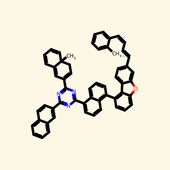 Cc1ccccc1/C=C\C=C\c1ccc2c(c1)oc1cccc(-c3cccc4c(-c5nc(C6=CCC7(C)C=CC=CC7=C6)nc(-c6ccc7ccccc7c6)n5)cccc34)c12